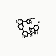 CCn1cc(-c2ccnc3ccc(-c4cncc(S(=O)(=O)Nc5ccc(F)cc5F)c4)cc23)cn1